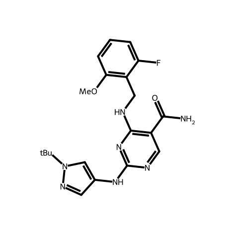 COc1cccc(F)c1CNc1nc(Nc2cnn(C(C)(C)C)c2)ncc1C(N)=O